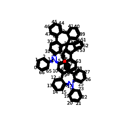 c1ccc(N(c2ccc3c(c2)-c2ccccc2N(c2ccccc2)c2ccccc2-3)c2ccc3c(c2)C2(c4ccccc4-c4ccccc4-3)c3ccccc3-c3c2ccc2ccccc32)cc1